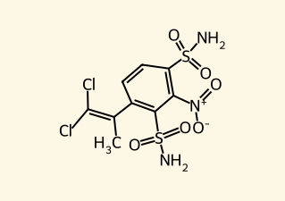 CC(=C(Cl)Cl)c1ccc(S(N)(=O)=O)c([N+](=O)[O-])c1S(N)(=O)=O